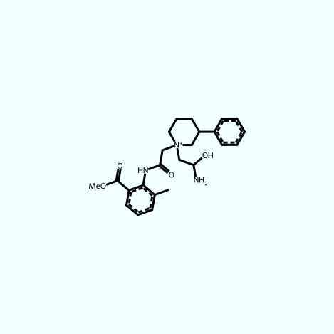 COC(=O)c1cccc(C)c1NC(=O)C[N+]1(CC(N)O)CCCC(c2ccccc2)C1